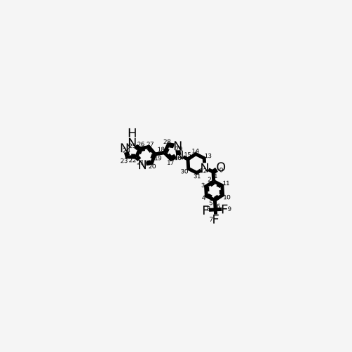 O=C(c1ccc(C(F)(F)F)cc1)N1CCC(n2cc(-c3cnc4cn[nH]c4c3)cn2)CC1